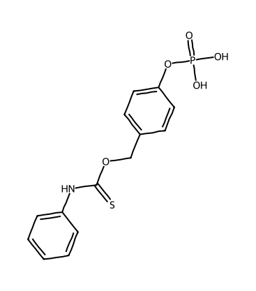 O=P(O)(O)Oc1ccc(COC(=S)Nc2ccccc2)cc1